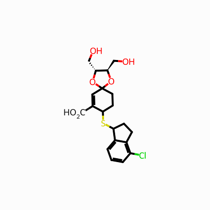 O=C(O)C1=CC2(CCC1SC1CCc3c(Cl)cccc31)O[C@H](CO)[C@@H](CO)O2